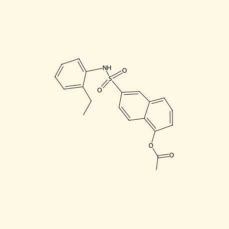 CCc1ccccc1NS(=O)(=O)c1ccc2c(OC(C)=O)cccc2c1